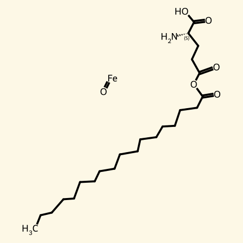 CCCCCCCCCCCCCCCCCC(=O)OC(=O)CC[C@H](N)C(=O)O.[O]=[Fe]